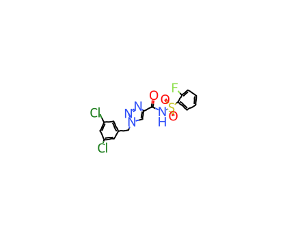 O=C(NS(=O)(=O)c1ccccc1F)c1cn(Cc2cc(Cl)cc(Cl)c2)nn1